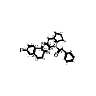 O=C(Cc1ccccc1)Nc1nc2c(nc1CC1CCCC1)-c1ccc(F)cc1CC2